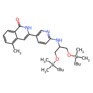 Cc1cccc2c(=O)[nH]c(-c3ccc(NC(CO[Si](C)(C)C(C)(C)C)CO[Si](C)(C)C(C)(C)C)nc3)cc12